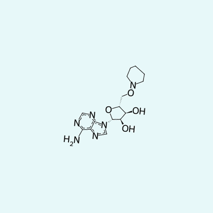 Nc1ncnc2c1ncn2[C@@H]1O[C@H](CON2CCCCC2)[C@@H](O)[C@H]1O